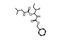 CCC(F)C(NC(=O)OCc1ccccc1)OC(=O)NCC(C)C